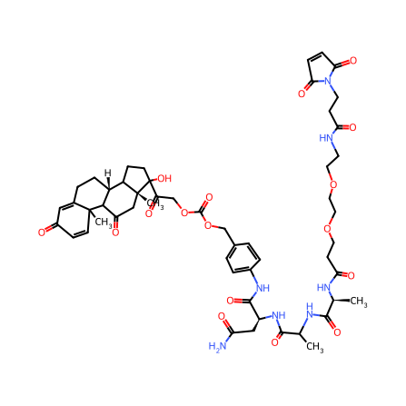 CC(NC(=O)[C@H](C)NC(=O)CCOCCOCCNC(=O)CCN1C(=O)C=CC1=O)C(=O)N[C@@H](CC(N)=O)C(=O)Nc1ccc(COC(=O)OCC(=O)C2(O)CCC3[C@H]4CCC5=CC(=O)C=CC5(C)C4C(=O)C[C@]32C)cc1